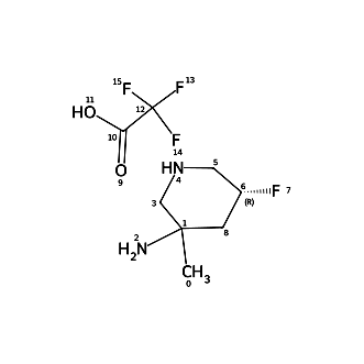 CC1(N)CNC[C@H](F)C1.O=C(O)C(F)(F)F